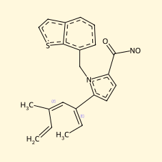 C=C/C(C)=C\C(=C/C)c1ccc(C(=O)N=O)n1Cc1cccc2ccsc12